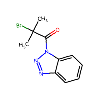 CC(C)(Br)C(=O)n1nnc2ccccc21